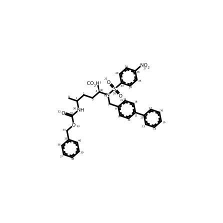 CC(CC[C@@H](C(=O)O)N(Cc1ccc(-c2ccccc2)cc1)S(=O)(=O)c1ccc([N+](=O)[O-])cc1)NC(=O)OCc1ccccc1